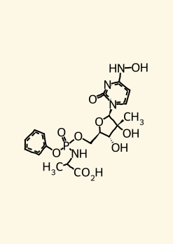 CC(NP(=O)(OC[C@H]1O[C@@H](n2ccc(NO)nc2=O)[C@](C)(O)[C@@H]1O)Oc1ccccc1)C(=O)O